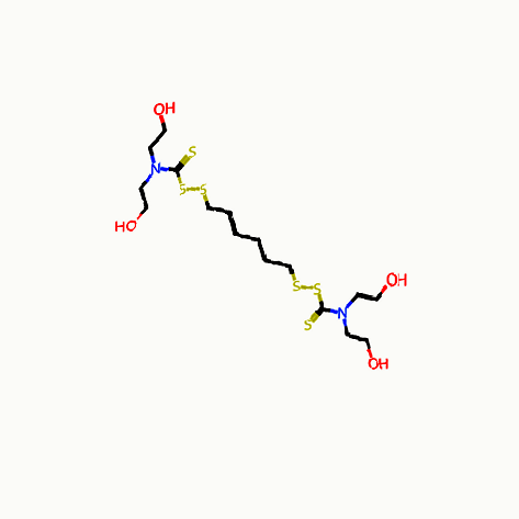 OCCN(CCO)C(=S)SSCCCCCCSSC(=S)N(CCO)CCO